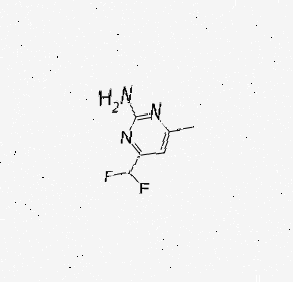 Cc1cc(C(F)F)nc(N)n1